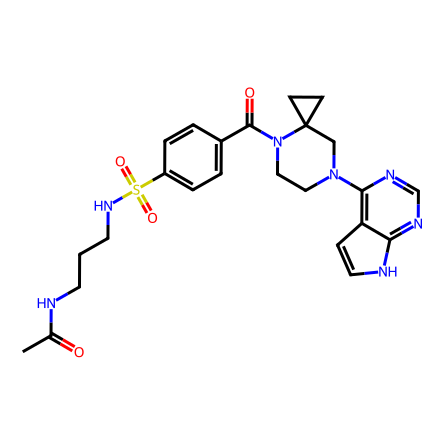 CC(=O)NCCCNS(=O)(=O)c1ccc(C(=O)N2CCN(c3ncnc4[nH]ccc34)CC23CC3)cc1